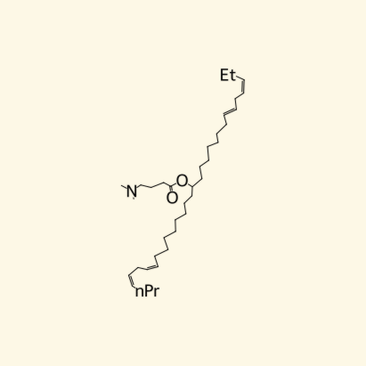 CC/C=C\C/C=C/CCCCCCCC(CCCCCCCC/C=C\C/C=C\CCC)OC(=O)CCCN(C)C